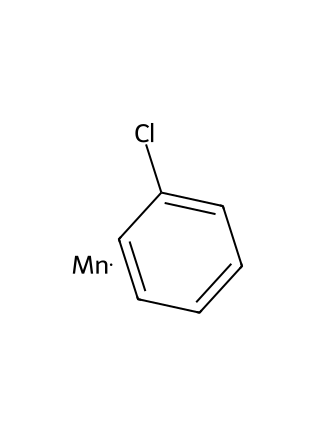 Clc1ccccc1.[Mn]